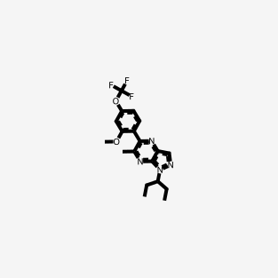 CCC(CC)n1ncc2nc(-c3ccc(OC(F)(F)F)cc3OC)c(C)nc21